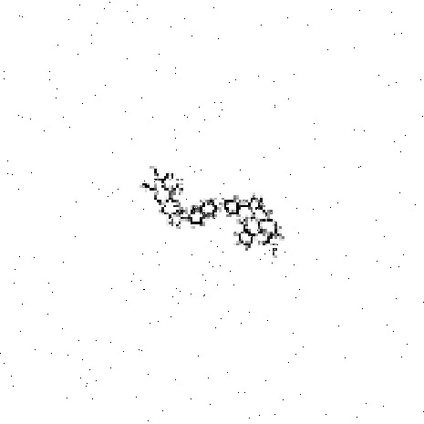 C#CCCN(CC1=NCC(c2ccc3cc(-c4ccc(-c5cnc(CN(CCC)C(O)[C@@H](NC(=O)OC)C6=C(OC)C=CCC6)[nH]5)cc4)ccc3c2)N1)C(=O)[C@@H](NC(=O)OC)C(C)C